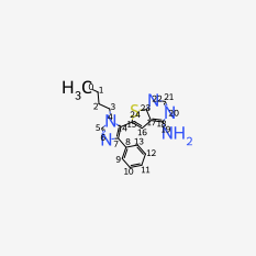 CCCCn1cnc(-c2ccccc2)c1-c1cc2c(N)ncnc2s1